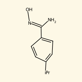 CC(C)c1ccc(/C(N)=N/O)cc1